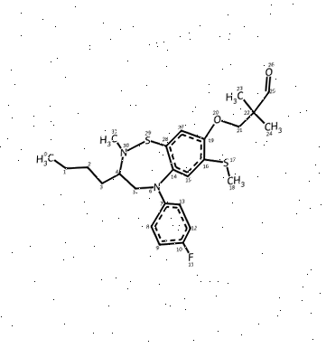 CCCCC1CN(c2ccc(F)cc2)c2cc(SC)c(OCC(C)(C)C=O)cc2SN1C